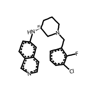 Fc1c(Cl)cccc1CN1CCC[C@@H](Nc2ccc3cnccc3c2)C1